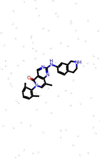 Cc1cccc(C)c1-n1cc(C)c2nc(Nc3ccc4c(c3)CNCC4)ncc2c1=O